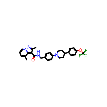 Cc1nn2cccc(C)c2c1C(=O)NCc1ccc(N2CCC(c3ccc(OC(F)(F)F)cc3)CC2)cc1